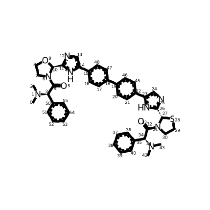 CN(C)[C@@H](C(=O)N1CCO[C@H]1c1ncc(-c2ccc(-c3ccc(-c4cnc([C@@H]5SCCN5C(=O)[C@@H](c5ccccc5)N(C)C)[nH]4)cc3)cc2)[nH]1)c1ccccc1